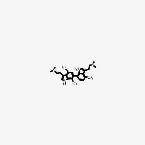 CN(C)CCc1c[nH]c2c(-c3cc(O)c4c(CCN(C)C)c[nH]c4c3O)ccc(O)c12